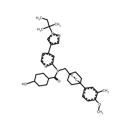 CCC(C)(C)n1cc(-c2ccnc(N(CC34CCC(c5ccc(OC)c(C)c5)(CC3)CC4)C(=O)C3CCC(O)CC3)c2)cn1